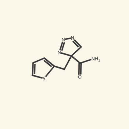 NC(=O)C1(Cc2cc[c]s2)C=NN=N1